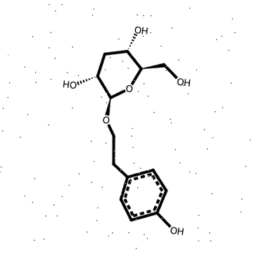 OC[C@H]1O[C@@H](OCCc2ccc(O)cc2)[C@H](O)C[C@@H]1O